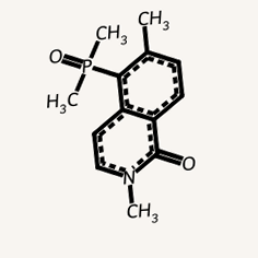 Cc1ccc2c(=O)n(C)ccc2c1P(C)(C)=O